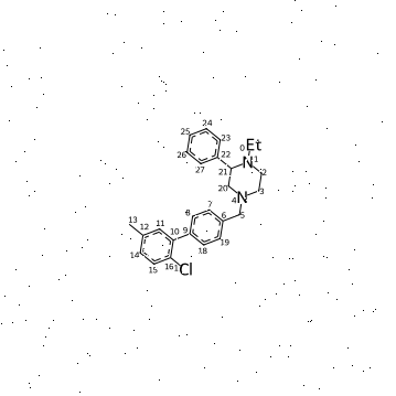 CCN1CCN(Cc2ccc(-c3cc(C)ccc3Cl)cc2)CC1c1ccccc1